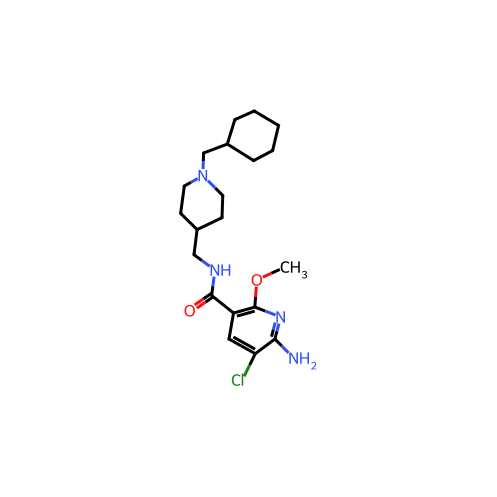 COc1nc(N)c(Cl)cc1C(=O)NCC1CCN(CC2CCCCC2)CC1